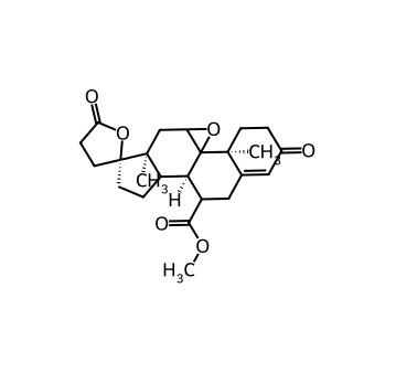 COC(=O)C1CC2=CC(=O)CC[C@]2(C)C23OC2C[C@@]2(C)C(CC[C@@]24CCC(=O)O4)[C@H]13